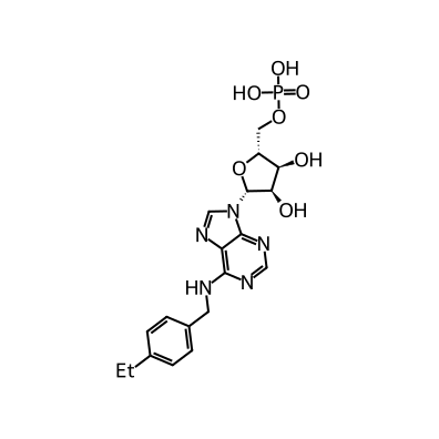 CCc1ccc(CNc2ncnc3c2ncn3[C@@H]2O[C@H](COP(=O)(O)O)[C@@H](O)[C@H]2O)cc1